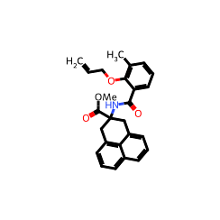 C=CCOc1c(C)cccc1C(=O)NC1(C(=O)OC)Cc2cccc3cccc(c23)C1